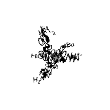 CC(C)(C)OC(=O)N[C@H](CCCN=[N+]=[N-])C(=O)OC1C(COP(=O)(O)OC2CC(n3ccc(N)nc3=O)OC2COP(=O)(O)O)OC(n2cnc3c(N)ncnc32)C1O